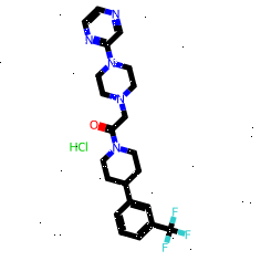 Cl.O=C(CN1CCN(c2cnccn2)CC1)N1CCC(c2cccc(C(F)(F)F)c2)CC1